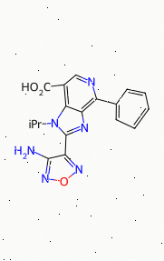 CC(C)n1c(-c2nonc2N)nc2c(-c3ccccc3)ncc(C(=O)O)c21